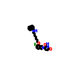 O=C1CCC(N2Cc3ccc(F)c(OCCCCCCCNC45CC6CC(CC(C6)C4)C5)c3C2)C(=O)N1